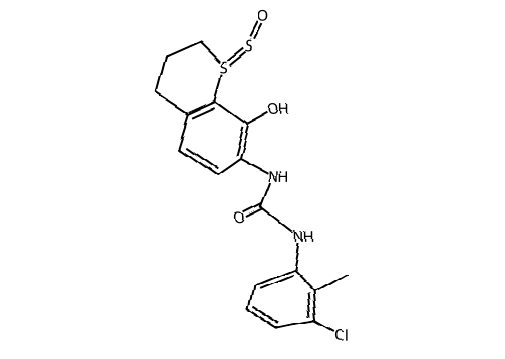 Cc1c(Cl)cccc1NC(=O)Nc1ccc2c(c1O)S(=S=O)CCC2